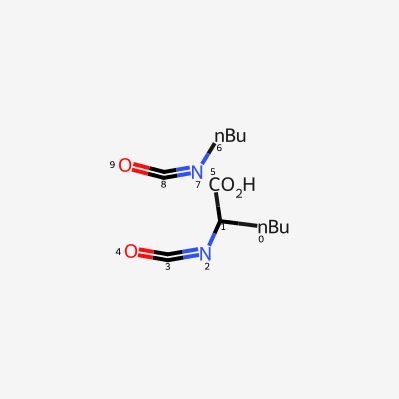 CCCCC(N=C=O)C(=O)O.CCCCN=C=O